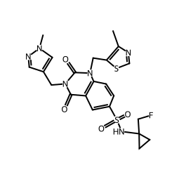 Cc1ncsc1Cn1c(=O)n(Cc2cnn(C)c2)c(=O)c2cc(S(=O)(=O)NC3(CF)CC3)ccc21